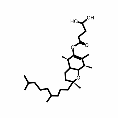 CC1=C(OC(=O)CCC(O)O)[C@H](C)C2CC[C@@](C)(CCCC(C)CCCC(C)C)OC2[C@@H]1C